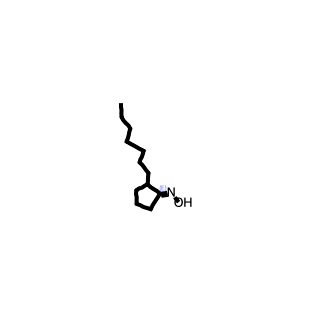 CCCCCCCC1CCC/C1=N\O